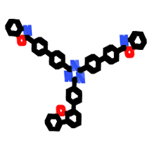 c1ccc2oc(-c3ccc(-c4ccc(-c5nc(-c6ccc(-c7ccc(-c8nc9ccccc9o8)cc7)cc6)nc(-c6ccc(-c7cccc8c7oc7ccccc78)cc6)n5)cc4)cc3)nc2c1